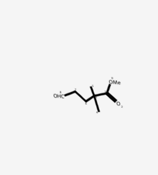 COC(=O)C(C)(C)CCC=O